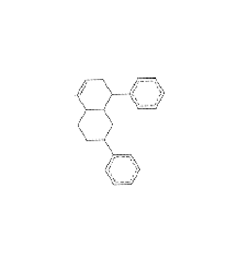 [C]1=CCC(c2ccccc2)C2CC(c3ccccc3)CCC12